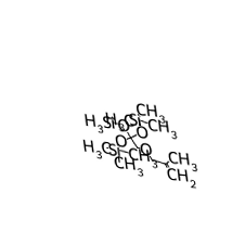 C=C(C)COCC(O[SiH3])(O[Si](C)(C)C)O[Si](C)(C)C